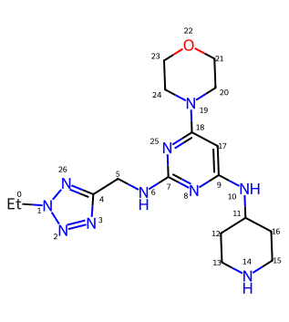 CCn1nnc(CNc2nc(NC3CCNCC3)cc(N3CCOCC3)n2)n1